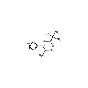 CC(C)[C@@H](N[S+]([O-])C(C)(C)C)c1c[nH]cn1